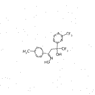 Cc1ccc(/C(CC(O)(c2cccc(C(F)(F)F)c2)C(F)(F)F)=N\O)cc1